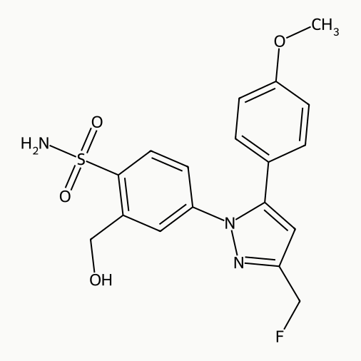 COc1ccc(-c2cc(CF)nn2-c2ccc(S(N)(=O)=O)c(CO)c2)cc1